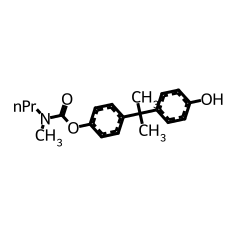 CCCN(C)C(=O)Oc1ccc(C(C)(C)c2ccc(O)cc2)cc1